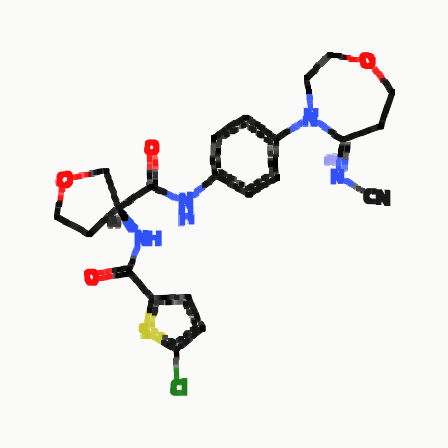 N#C/N=C1\CCOCCN1c1ccc(NC(=O)[C@]2(NC(=O)c3ccc(Cl)s3)CCOC2)cc1